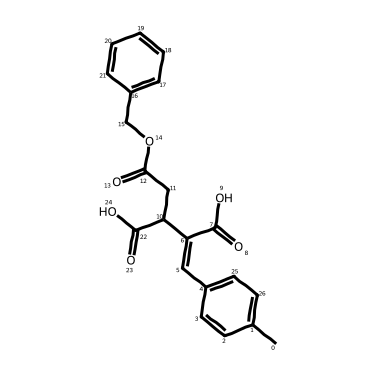 Cc1ccc(C=C(C(=O)O)C(CC(=O)OCc2ccccc2)C(=O)O)cc1